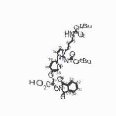 CC(C)(C)OC(=O)/N=c1\n(CCCNC(=O)OC(C)(C)C)ccn1-c1ccc(OC[C@H](ON2C(=O)c3ccccc3C2=O)C(=O)O)cn1